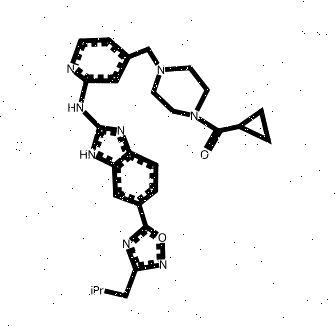 CC(C)Cc1noc(-c2ccc3nc(Nc4cc(CN5CCN(C(=O)C6CC6)CC5)ccn4)[nH]c3c2)n1